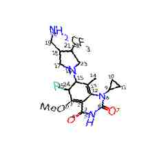 COC1=c2c(=O)[nH]c(=O)n(C3CC3)c2=C(C)C(N2CC(CN)C(C(F)(F)F)C2)C1F